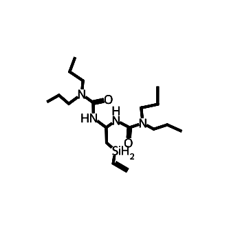 C=C[SiH2]CC(NC(=O)N(CCC)CCC)NC(=O)N(CCC)CCC